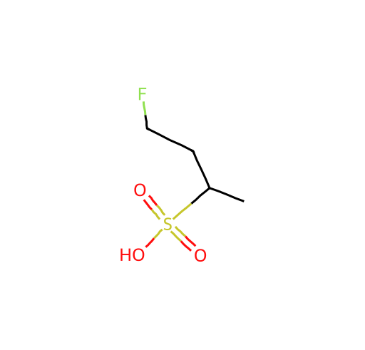 CC(CCF)S(=O)(=O)O